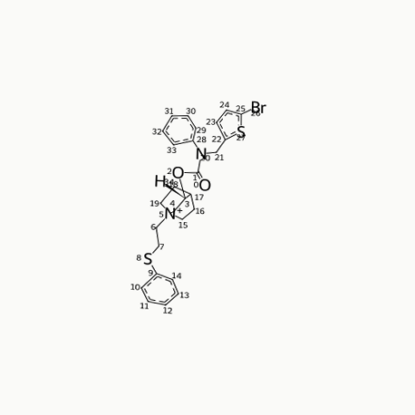 O=C(O[C@H]1C[N+]2(CCSc3ccccc3)CCC1CC2)N(Cc1ccc(Br)s1)c1ccccc1